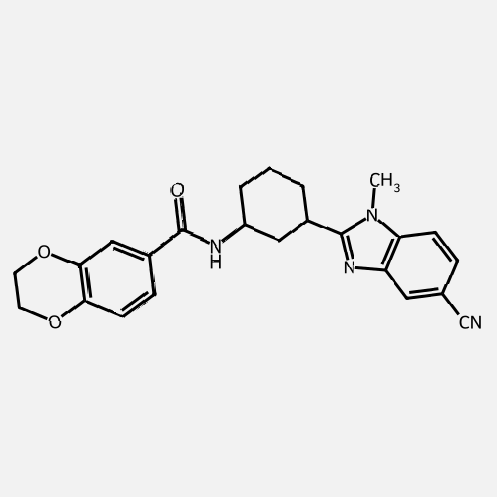 Cn1c(C2CCCC(NC(=O)c3ccc4c(c3)OCCO4)C2)nc2cc(C#N)ccc21